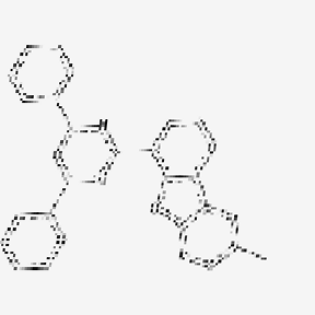 Cc1ccc2oc3c(-c4nc(-c5ccccc5)cc(-c5ccccc5)n4)cccc3c2c1